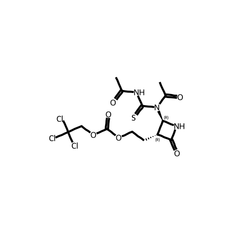 CC(=O)NC(=S)N(C(C)=O)[C@H]1NC(=O)[C@@H]1CCOC(=O)OCC(Cl)(Cl)Cl